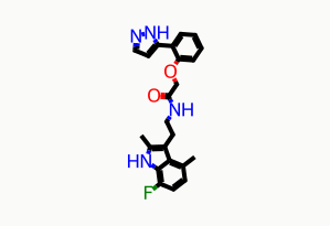 Cc1[nH]c2c(F)ccc(C)c2c1CCNC(=O)COc1ccccc1-c1ccn[nH]1